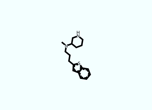 CN(CCCc1cc2ccccc2s1)C1CCCNC1